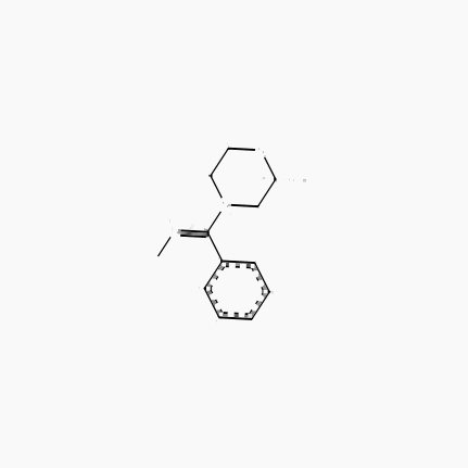 CC[C@@H]1CN(/C(=N/C)c2ccccc2)CCN1